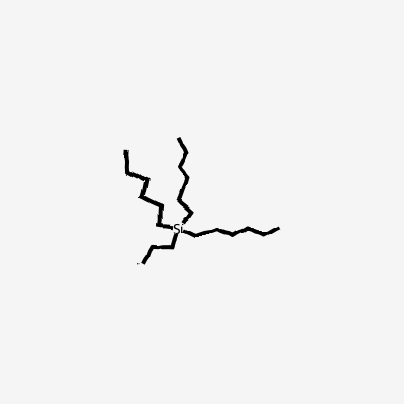 [CH2]CC[Si](CCCCCC)(CCCCCC)CCCCCC